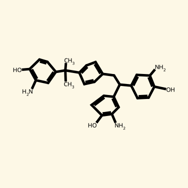 CC(C)(c1ccc(CC(c2ccc(O)c(N)c2)c2ccc(O)c(N)c2)cc1)c1ccc(O)c(N)c1